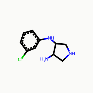 NC1CNCC1Nc1cccc(Cl)c1